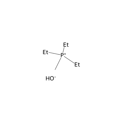 CC[P+](C)(CC)CC.[OH-]